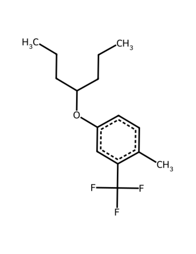 CCCC(CCC)Oc1ccc(C)c(C(F)(F)F)c1